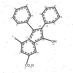 O=C(O)c1cc(I)n2c(-c3ccccc3)c(-c3ccccc3)c(O)c2c1